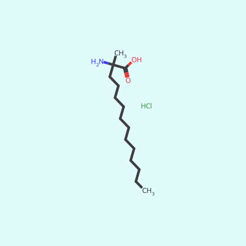 CCCCCCCCCCCCC(C)(N)C(=O)O.Cl